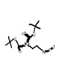 CC(C)(C)OC(=O)N(CCN=C=O)C(=O)OC(C)(C)C